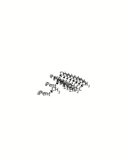 CCCC(C)C.CCCC(C)C.CCCC(C)C.CCCC(C)C.CCCC(C)C.CCCC(C)C.CCCC(C)C.CCOC(C)=O.CCOC(C)=O.CCOC(C)=O